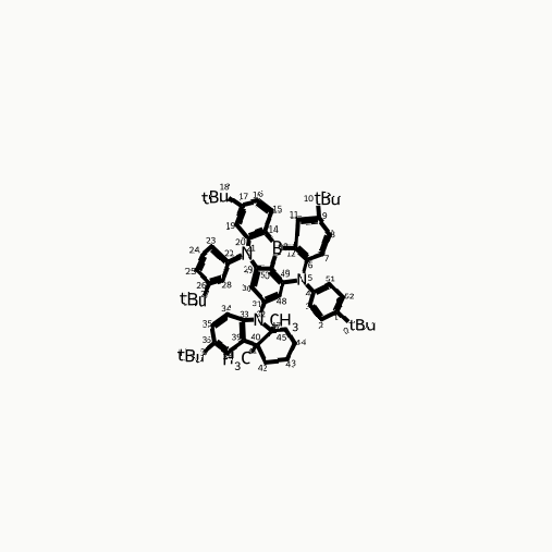 CC(C)(C)c1ccc(N2c3ccc(C(C)(C)C)cc3B3c4ccc(C(C)(C)C)cc4N(c4cccc(C(C)(C)C)c4)c4cc(N5c6ccc(C(C)(C)C)cc6C6(C)CCCCC56C)cc2c43)cc1